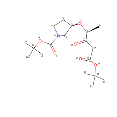 C[C@H](O[C@@H]1CCN(C(=O)OC(C)(C)C)C1)C(=O)CC(=O)OC(C)(C)C